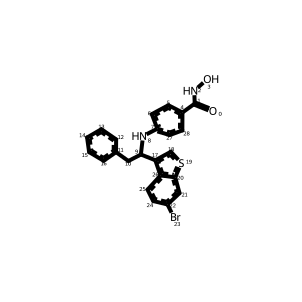 O=C(NO)c1ccc(NC(Cc2ccccc2)c2csc3cc(Br)ccc23)cc1